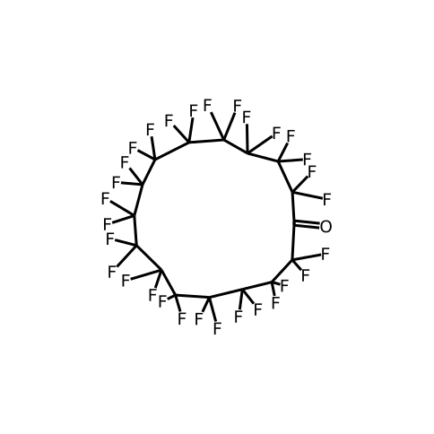 O=C1C(F)(F)C(F)(F)C(F)(F)C(F)(F)C(F)(F)C(F)(F)C(F)(F)C(F)(F)C(F)(F)C(F)(F)C(F)(F)C(F)(F)C(F)(F)C(F)(F)C1(F)F